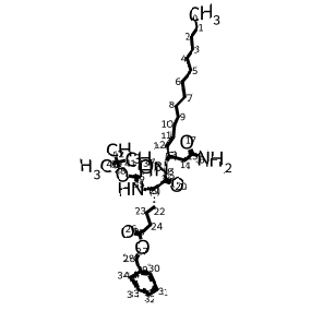 CCCCCCCCCCCCC[C@@H](CC(N)=O)NC(=O)[C@H](CCCC(=O)OCc1ccccc1)NC(=O)OC(C)(C)C